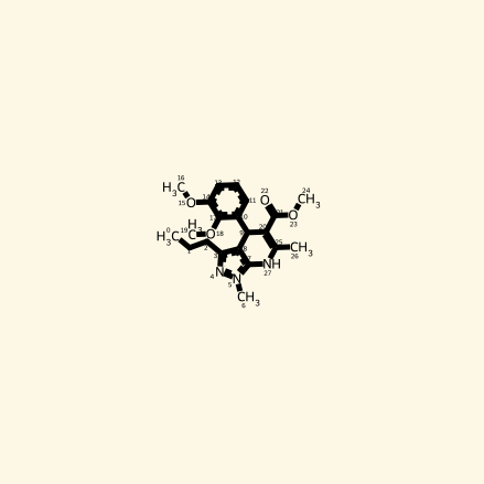 CCCc1nn(C)c2c1C(c1cccc(OC)c1OC)C(C(=O)OC)=C(C)N2